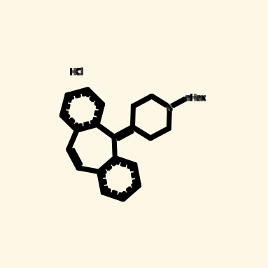 CCCCCCN1CCC(=C2c3ccccc3C=Cc3ccccc32)CC1.Cl